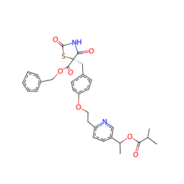 CC(C)C(=O)OC(C)c1ccc(CCOc2ccc(C[C@]3(C(=O)OCc4ccccc4)SC(=O)NC3=O)cc2)nc1